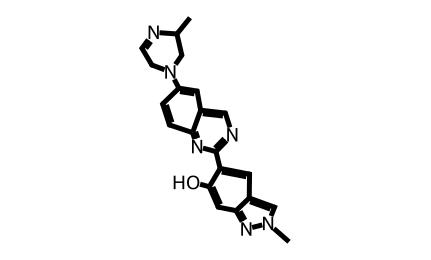 CC1CN(c2ccc3nc(-c4cc5cn(C)nc5cc4O)ncc3c2)CC=N1